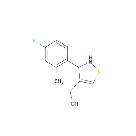 Cc1cc(F)ccc1C1NSC=C1CO